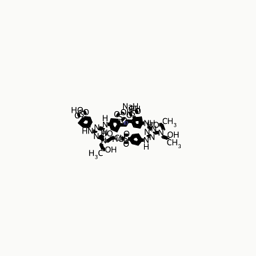 CC(O)CN(CC(C)O)c1nc(Nc2ccc(S(=O)(=O)O)cc2)nc(Nc2ccc(/C=C/c3ccc(Nc4nc(Nc5ccc(S(=O)(=O)O)cc5)nc(N(CC(C)O)CC(C)O)n4)cc3S(=O)(=O)O)c(S(=O)(=O)O)c2)n1.[NaH]